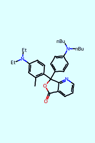 CCCCN(CCCC)c1ccc(C2(c3ccc(N(CC)CC)cc3C)OC(=O)c3cccnc32)cc1